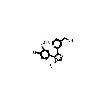 COc1cc(-c2c(-c3cc(CO)ccn3)ncn2C)ccc1Cl